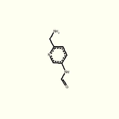 NCc1ccc(NC=O)cn1